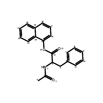 CC(=O)NC(Cc1ccccc1)C(=O)Oc1cccc2ccccc12